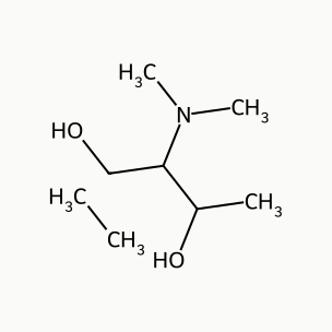 CC.CC(O)C(CO)N(C)C